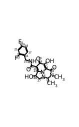 CC1N(C)C(=O)c2c(O)c(=O)c(C(=O)NCc3ccc(F)cc3F)c3n2N1CC3O